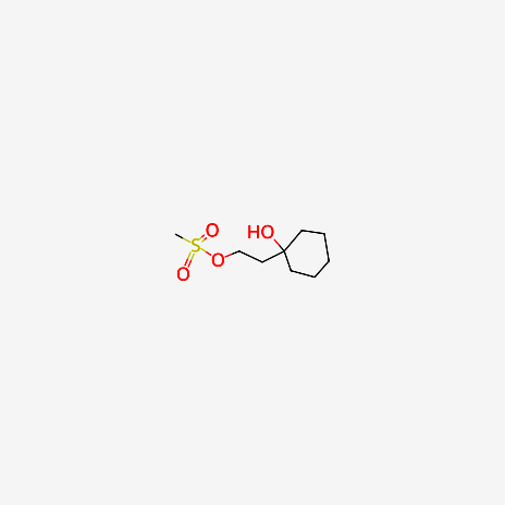 CS(=O)(=O)OCCC1(O)CCCCC1